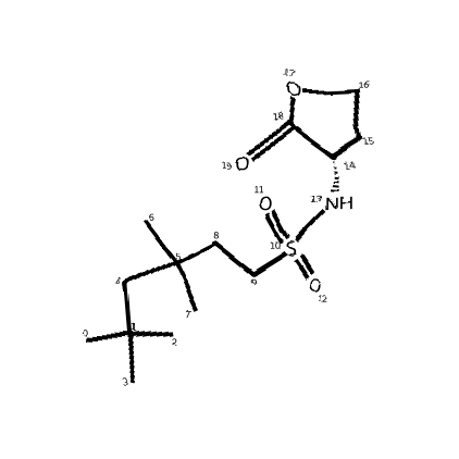 CC(C)(C)CC(C)(C)CCS(=O)(=O)N[C@H]1CCOC1=O